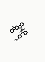 N#Cc1ccc(-c2nc(-n3c4ccccc4c4cc5sc6ccccc6c5cc43)nc3ccccc23)cc1